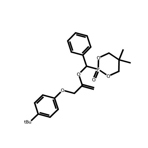 C=C(COc1ccc(C(C)(C)C)cc1)OC(c1ccccc1)P1(=O)OCC(C)(C)CO1